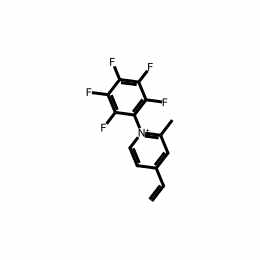 C=Cc1cc[n+](-c2c(F)c(F)c(F)c(F)c2F)c(C)c1